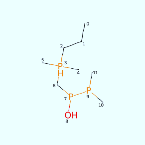 CCC[PH](C)(C)CP(O)P(C)C